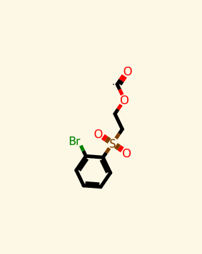 O=[C]OCCS(=O)(=O)c1ccccc1Br